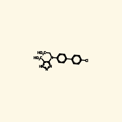 O=C(O)CN(c1ccc(-c2ccc(Cl)cc2)cc1)c1nn[nH]c1C(=O)O